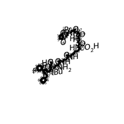 CC(C)C(NC(=O)CN1C(=O)C=CC1=O)C(=O)N[C@@H](C)C(=O)NCCC(=O)N[C@@H](CCCCNC(=O)CCNC(=O)[C@@H](N)CCN(C(=O)CO)[C@@H](c1cc(-c2cc(F)ccc2F)cn1Cc1ccccc1)C(C)(C)C)C(=O)O